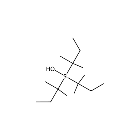 CCC(C)(C)[Si](O)(C(C)(C)CC)C(C)(C)CC